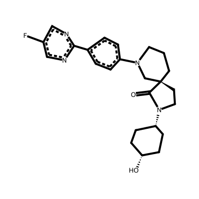 O=C1N([C@H]2CC[C@@H](O)CC2)CC[C@@]12CCCN(c1ccc(-c3ncc(F)cn3)cc1)C2